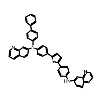 c1ccc(-c2ccc(N(c3ccc(-c4ccc(-c5ccc(Nc6ccc7cccnc7c6)cc5)s4)cc3)c3ccc4cccnc4c3)cc2)cc1